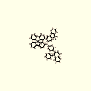 CC1(C)C2=C(CCC=C2)c2ccc(N(c3ccc(-c4ccc5ccccc5c4-c4ccccc4)cc3)c3ccc4c(c3)C3(c5ccccc5-c5ccccc53)c3ccccc3-4)cc21